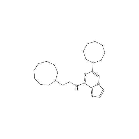 c1cn2cc(C3CCCCCCC3)nc(NCCC3CCCCCCCC3)c2n1